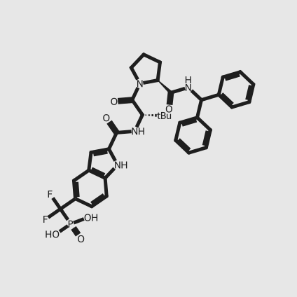 CC(C)(C)[C@H](NC(=O)c1cc2cc(C(F)(F)P(=O)(O)O)ccc2[nH]1)C(=O)N1CCC[C@H]1C(=O)NC(c1ccccc1)c1ccccc1